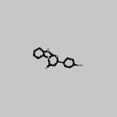 COc1ccc(-c2cc(=O)n3c(n2)[nH]c2ccccc23)cc1